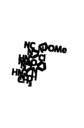 COc1c(Cl)cccc1Nc1cc(Nc2ccc(N3CC[C@H](OC)C3)c(C#N)n2)nc2[nH]n(C)c(=O)c12